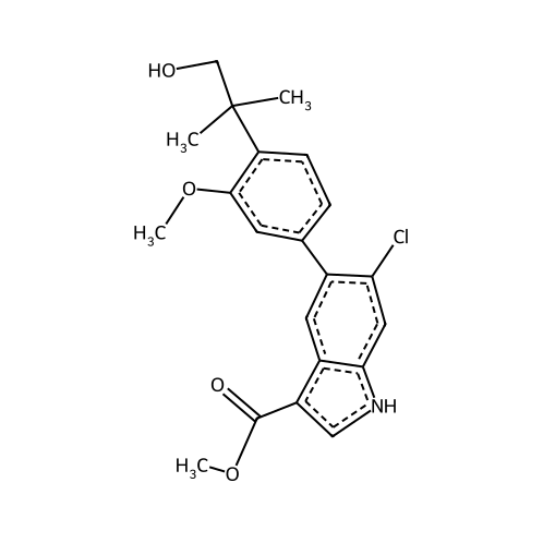 COC(=O)c1c[nH]c2cc(Cl)c(-c3ccc(C(C)(C)CO)c(OC)c3)cc12